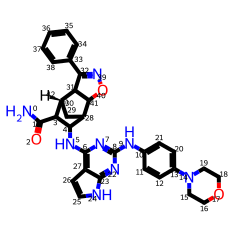 NC(=O)C1C(Nc2nc(Nc3ccc(N4CCOCC4)cc3)nc3[nH]ccc23)C2C[C@H]1C1C(c3ccccc3)=NOC21